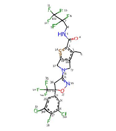 Cc1c(C(=O)NCC(F)(F)C(F)(F)F)sc2c1CN(C1=NOC(c3cc(Cl)c(F)c(Cl)c3)(C(F)(F)F)C1)C2